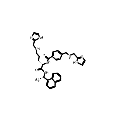 C[C@H](NC(=O)[C@H](CCCNCc1ncc[nH]1)NC(=O)c1ccc(CNCc2ncc[nH]2)cc1)c1cccc2ccccc12